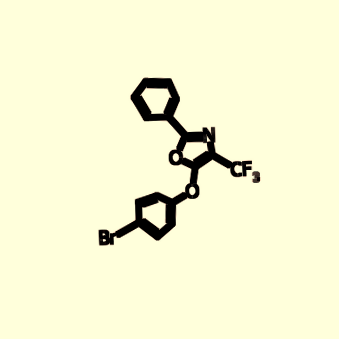 FC(F)(F)c1nc(-c2ccccc2)oc1Oc1ccc(Br)cc1